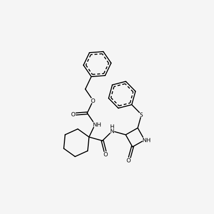 O=C(NC1(C(=O)NC2C(=O)NC2Sc2ccccc2)CCCCC1)OCc1ccccc1